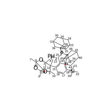 CC12CC3(C)OC(C)(CC(C)(O1)C3(CP)c1ccc([Si](C)(C)C)cc1CP(C13CC4CC(CC(C4)C1)C3)C13CC4CC(CC(C4)C1)C3)O2